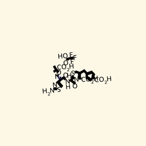 CC(C)(O/N=C(\C(=O)N[C@@H]1C(=O)N2C(C(=O)O)=C(Cc3ccc(C(=O)O)cc3)CS[C@H]12)c1csc(N)n1)C(=O)O.O=C(O)C(F)(F)F